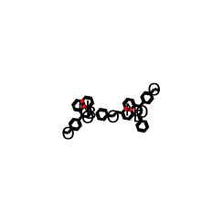 COc1ccc(C(OB(c2ccccc2)c2ccc(COc3ccc(B(OC(c4ccc(OC)cc4)c4ccccn4)c4ccccc4)cc3)cc2)c2ccccn2)cc1